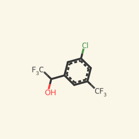 OC(c1cc(Cl)cc(C(F)(F)F)c1)C(F)(F)F